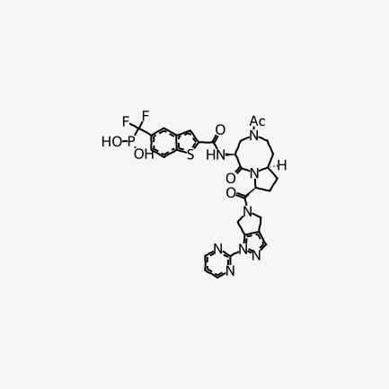 CC(=O)N1CC[C@H]2CC[C@@H](C(=O)N3Cc4cnn(-c5ncccn5)c4C3)N2C(=O)[C@@H](NC(=O)c2cc3cc(C(F)(F)P(O)O)ccc3s2)C1